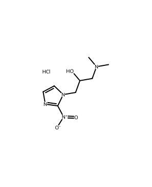 CN(C)CC(O)Cn1ccnc1[N+](=O)[O-].Cl